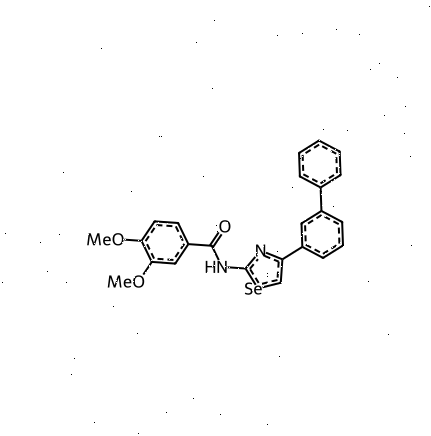 COc1ccc(C(=O)Nc2nc(-c3cccc(-c4ccccc4)c3)c[se]2)cc1OC